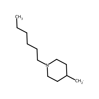 [CH2]C1CCN(CCCCCC)CC1